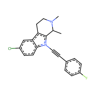 CC1c2c(c3cc(Cl)ccc3n2C#Cc2ccc(F)cc2)CCN1C